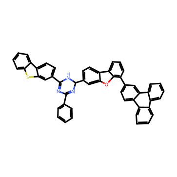 c1ccc(C2=NC(c3ccc4c(c3)oc3c(-c5ccc6c7ccccc7c7ccccc7c6c5)cccc34)NC(c3ccc4c(c3)sc3ccccc34)=N2)cc1